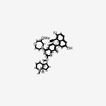 C#Cc1c(F)ccc2cc(O)cc(-c3ccc4c(N5CCOCC(OC)C5)nc(OC[C@]56CCC[C@H]5N(C)CCC6)nc4c3F)c12